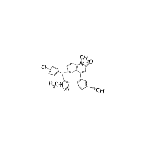 C#Cc1cccc(-c2cc(=O)n(C)c3ccc([C@@H](c4ccc(Cl)cc4)c4cncn4C)cc23)c1